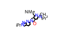 CNCc1nc(N(C)C(C)C)cc2c1CN(c1ccc3cn(C(C)C)nc3n1)C2=O